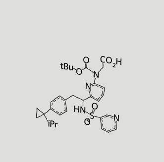 CC(C)C1(c2ccc(CC(NS(=O)(=O)c3cccnc3)c3cccc(N(CC(=O)O)C(=O)OC(C)(C)C)n3)cc2)CC1